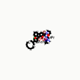 CNC(C)(C)C(=O)N(C)[C@H](C(=O)N[C@@H](CC(=O)OC(c1ccccc1)(c1ccc(C2CCCCCCCCCC2)cc1)c1ccccc1Cl)C(=O)N1CCCC1)C(C)C